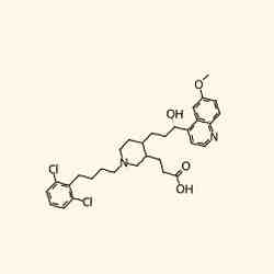 COc1ccc2nccc([C@@H](O)CCC3CCN(CCCCc4c(Cl)cccc4Cl)CC3CCC(=O)O)c2c1